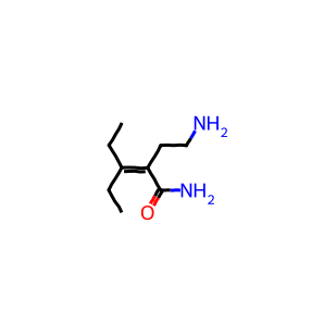 CCC(CC)=C(CCN)C(N)=O